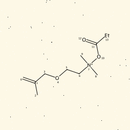 C=C(C)COCC[N+](C)(C)OC(=O)CC